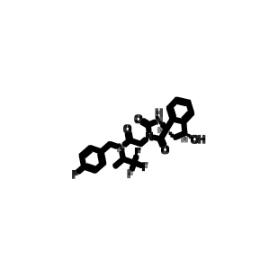 CC(N(Cc1ccc(F)cc1)C(=O)CN1C(=O)N[C@]2(C[C@@H](O)c3ccccc32)C1=O)C(F)(F)F